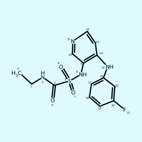 CCNC(=O)S(=O)(=O)Nc1cnccc1Nc1cccc(F)c1